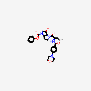 CC(C)CC(NC(=O)c1ccc(N2CCOCC2)cc1)C(=O)N1CCC2C1C(=O)CN2C(=O)Oc1ccccc1